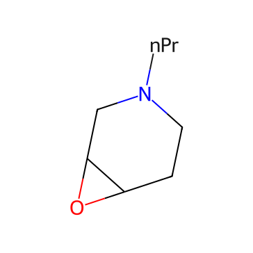 CCCN1CCC2OC2C1